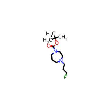 CC(C)(C)OC(=O)N1CCCN(CCCF)CC1